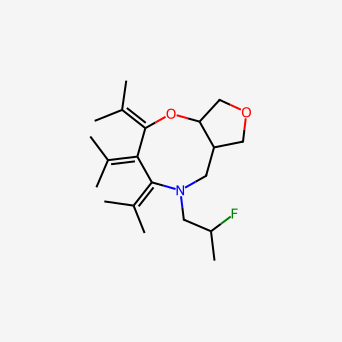 CC(C)=C1OC2COCC2CN(CC(C)F)C(=C(C)C)C1=C(C)C